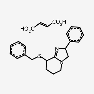 O=C(O)C=CC(=O)O.c1ccc(CSC2CCCN3CC(c4ccccc4)N=C23)cc1